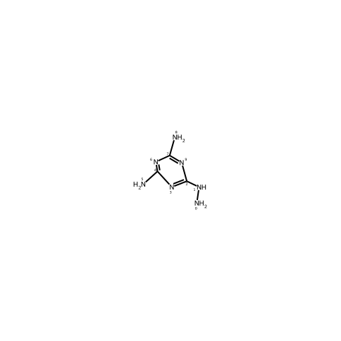 NNc1nc(N)nc(N)n1